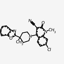 Cn1c(=O)c(C#N)c(N2CCC(C)(c3nc4ccccc4o3)CC2)c2ccc(Cl)cc21